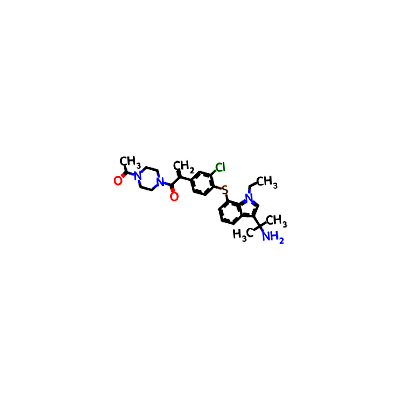 C=C(C(=O)N1CCN(C(C)=O)CC1)c1ccc(Sc2cccc3c(C(C)(C)N)cn(CC)c23)c(Cl)c1